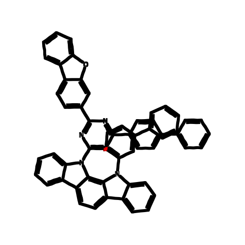 c1ccc(-c2ccc(-c3nc(-c4ccc5c(c4)oc4ccccc45)nc(-n4c5ccccc5c5ccc6c7ccccc7n(-c7cccc(-c8ccccc8)c7)c6c54)n3)cc2)cc1